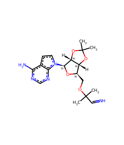 CC(C)(C=N)OC[C@H]1O[C@@H](n2ccc3c(N)ncnc32)[C@@H]2OC(C)(C)O[C@@H]21